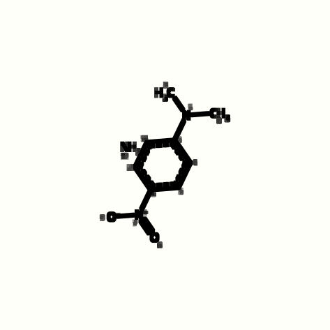 CN(C)c1ccc([N+](=O)[O-])cc1.N